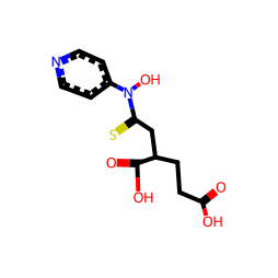 O=C(O)CCC(CC(=S)N(O)c1ccncc1)C(=O)O